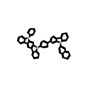 c1ccc(-n2c3ccccc3c3cc4c5ccccc5n(-c5ccc(-c6ccc7c8ccccc8n(-c8ccc9ccccc9c8)c7c6)cc5)c4cc32)cc1